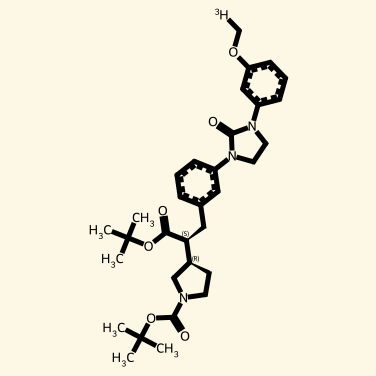 [3H]COc1cccc(N2CCN(c3cccc(C[C@H](C(=O)OC(C)(C)C)[C@H]4CCN(C(=O)OC(C)(C)C)C4)c3)C2=O)c1